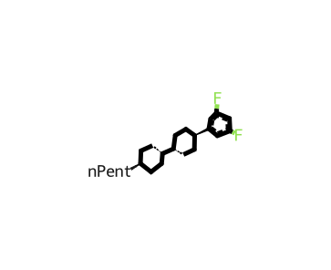 CCCCC[C@H]1CC[C@H]([C@H]2CC[C@H](c3cc(F)cc(F)c3)CC2)CC1